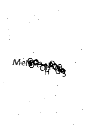 CNS(=O)(=O)c1cccc(OC[C@@H](O)CNC2COC3(CCN(S(=O)(=O)c4ccsc4)CC3)C2)c1